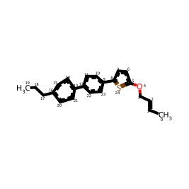 CC=CCOc1ccc(-c2ccc(-c3ccc(CCC)cc3)cc2)s1